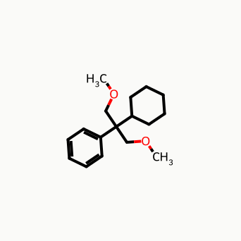 COCC(COC)(c1ccccc1)C1CCCCC1